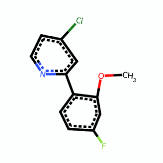 COc1cc(F)ccc1-c1cc(Cl)ccn1